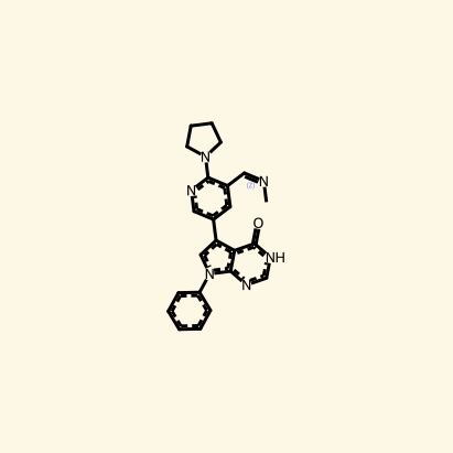 C/N=C\c1cc(-c2cn(-c3ccccc3)c3nc[nH]c(=O)c23)cnc1N1CCCC1